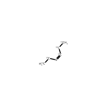 [13CH3][13CH2]/[13CH]=N\[13CH2][13CH3]